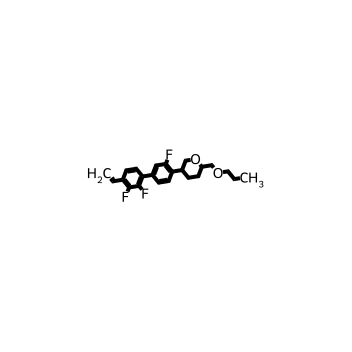 C=Cc1ccc(-c2ccc(C3CCC(COCCC)OC3)c(F)c2)c(F)c1F